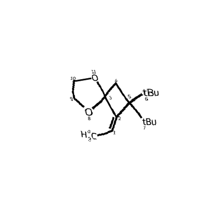 C/C=C1\C2(CC1(C(C)(C)C)C(C)(C)C)OCCO2